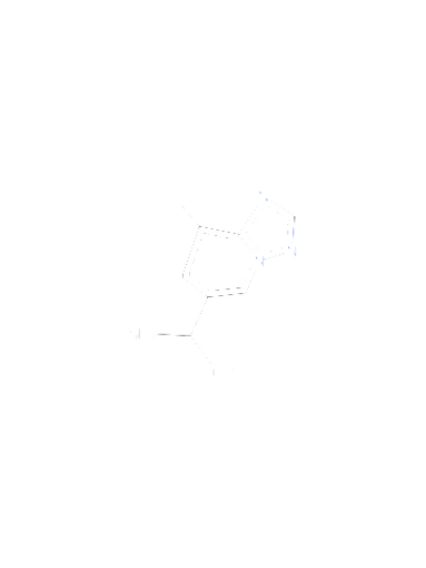 CCCCC(CCC)c1cc(C)c2ncnn2c1